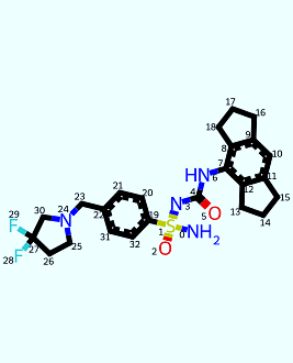 NS(=O)(=NC(=O)Nc1c2c(cc3c1CCC3)CCC2)c1ccc(CN2CCC(F)(F)C2)cc1